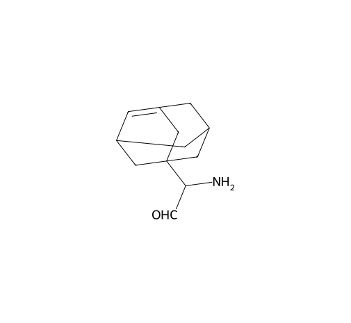 NC(C=O)C12CC3=CC(CC(C3)C1)C2